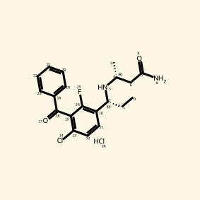 CC[C@@H](N[C@H](C)CC(N)=O)c1ccc(Cl)c(C(=O)c2ccccc2)c1F.Cl